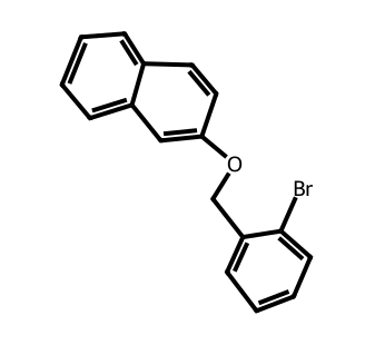 Brc1ccccc1COc1ccc2ccccc2c1